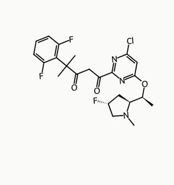 C[C@H](Oc1cc(Cl)nc(C(=O)CC(=O)C(C)(C)c2c(F)cccc2F)n1)[C@@H]1C[C@@H](F)CN1C